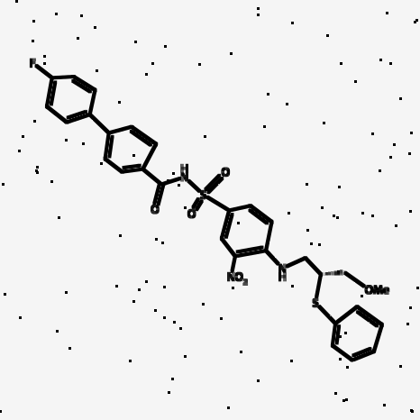 COC[C@@H](CNc1ccc(S(=O)(=O)NC(=O)c2ccc(-c3ccc(F)cc3)cc2)cc1[N+](=O)[O-])Sc1ccccc1